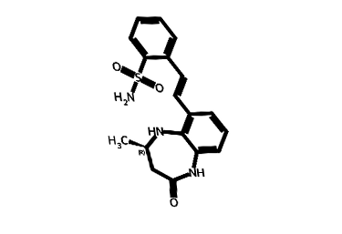 C[C@@H]1CC(=O)Nc2cccc(C=Cc3ccccc3S(N)(=O)=O)c2N1